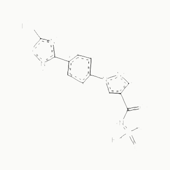 CCS(=O)(CC)=NC(=O)c1cnn(-c2ccc(-c3noc(C(F)(F)F)n3)cc2)c1